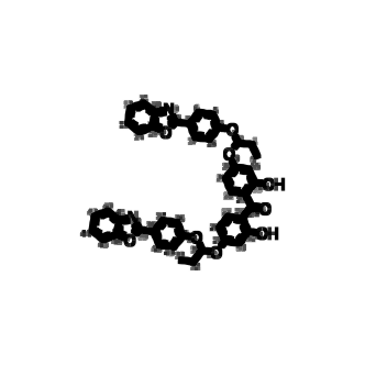 CCC(Oc1ccc(-c2nc3ccccc3o2)cc1)Oc1ccc(C(=O)c2ccc(OC(CC)Oc3ccc(-c4nc5ccccc5o4)cc3)cc2O)c(O)c1